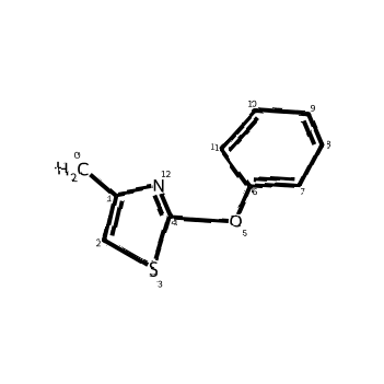 [CH2]c1csc(Oc2ccccc2)n1